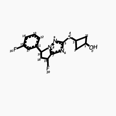 OC1CC(Sc2nc3n(n2)C(c2cccc(F)c2)CC3F)C1